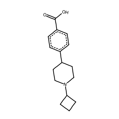 O=C(O)c1ccc(C2CCN(C3CCC3)CC2)cc1